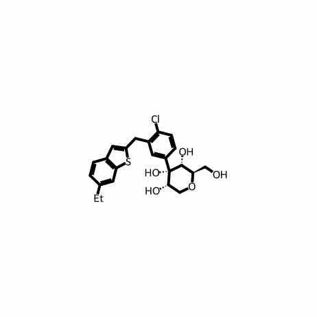 CCc1ccc2cc(Cc3cc([C@@]4(O)[C@H](O)[C@@H](CO)OC[C@@H]4O)ccc3Cl)sc2c1